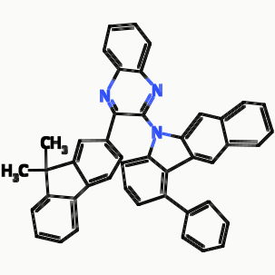 CC1(C)c2ccccc2-c2ccc(-c3nc4ccccc4nc3-n3c4cc5ccccc5cc4c4c(-c5ccccc5)cccc43)cc21